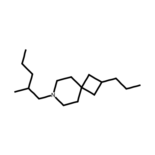 CCCC(C)CN1CCC2(CC1)CC(CCC)C2